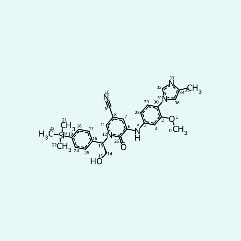 COc1cc(Nc2cc(C#N)cn([C@@H](CO)c3ccc([Si](C)(C)C)cc3)c2=O)ccc1-n1cnc(C)c1